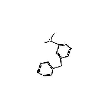 CN(C)c1cccc(Cc2ccccc2)c1